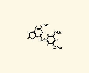 COc1cc(Nc2nc(SC)nc3c2CCC3)cc(OC)c1